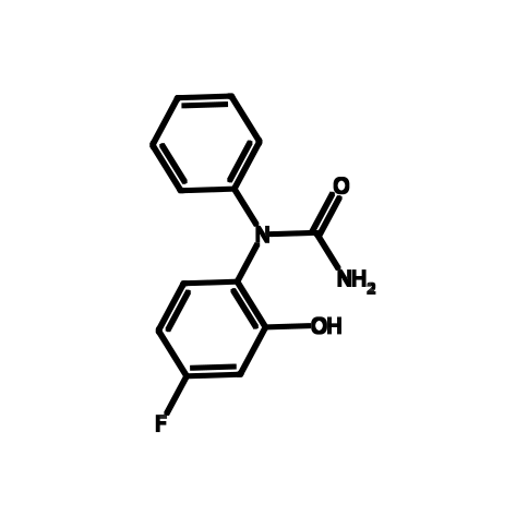 NC(=O)N(c1ccccc1)c1ccc(F)cc1O